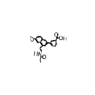 CCC(=O)NCCc1cc(-c2cccc(C(=O)O)c2)cc2ccc(OC)cc12